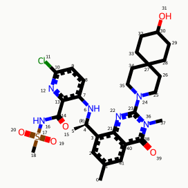 Cc1cc([C@@H](C)Nc2ccc(Cl)nc2C(=O)NS(C)(=O)=O)c2nc(N3CCC4(CCC(O)CC4)CC3)n(C)c(=O)c2c1